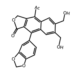 CC(=O)c1c2c(c(-c3ccc4c(c3)OCO4)c3cc(CO)c(CO)cc13)C(=O)OC2